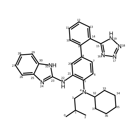 CC(C)CN(c1ccc(-c2ccccc2-c2nnn[nH]2)cc1Nc1nc2ccccc2[nH]1)C1CCCCC1